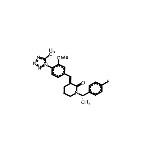 COc1cc(C=C2CCCN([C@@H](C)c3ccc(F)cc3)C2=O)ccc1-n1nnnc1C